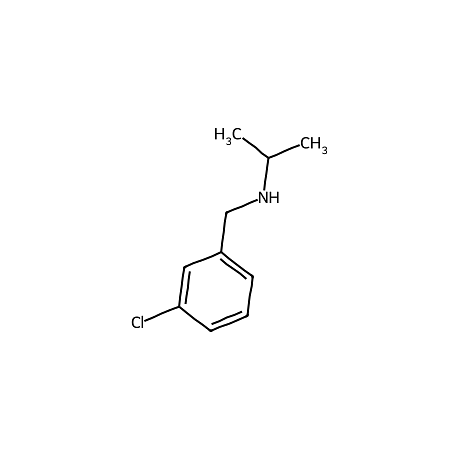 CC(C)NCc1cccc(Cl)c1